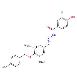 CCCc1ccc(COc2c(OC)cc(/C=N/NC(=O)c3ccc(O)c(Cl)c3)cc2OC)cc1